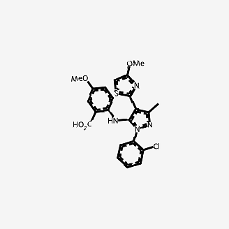 COc1ccc(Nc2c(-c3nc(OC)cs3)c(C)nn2-c2ccccc2Cl)c(C(=O)O)c1